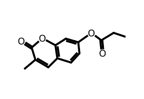 CCC(=O)Oc1ccc2cc(C)c(=O)oc2c1